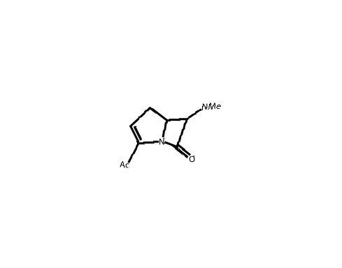 CNC1C(=O)N2C(C(C)=O)=CCC12